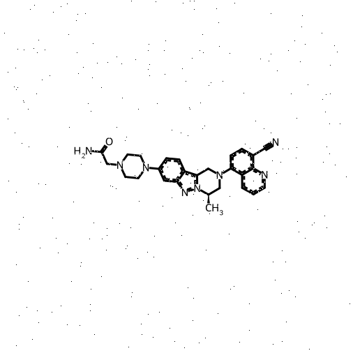 C[C@@H]1CN(c2ccc(C#N)c3ncccc23)Cc2c3ccc(N4CCN(CC(N)=O)CC4)cc3nn21